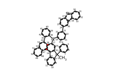 CC1(c2ccccc2)c2ccccc2-c2ccc(N(c3cccc(-c4ccc5sc6ccccc6c5c4)c3)c3ccccc3-c3ccc4ccccc4c3)cc21